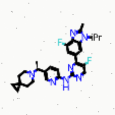 Cc1nc2c(F)cc(-c3nc(Nc4ccc([C@H](C)N5CCC6(CC5)CC6)cn4)ncc3F)cc2n1C(C)C